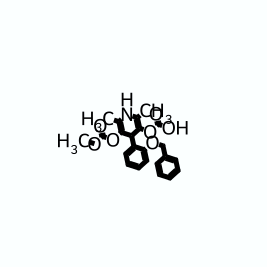 COC(=O)OC1=C(C)NC(C)=C(OC(=O)O)C1c1ccccc1OCc1ccccc1